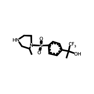 CC1CNCCN1S(=O)(=O)c1ccc(C(C)(O)C(F)(F)F)cc1